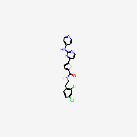 O=C(NCCc1ccc(Cl)cc1Cl)c1ccc(-c2ccnc(Nc3ccncc3)n2)s1